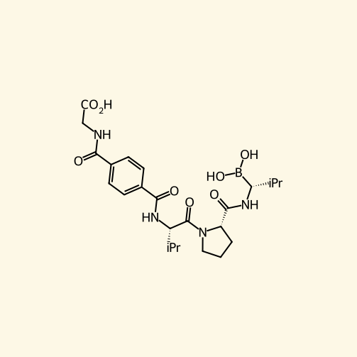 CC(C)[C@H](NC(=O)[C@@H]1CCCN1C(=O)[C@@H](NC(=O)c1ccc(C(=O)NCC(=O)O)cc1)C(C)C)B(O)O